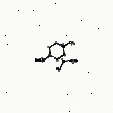 CC(C)(C)OC=O.CCOC(=O)C1CCN(C)CC1